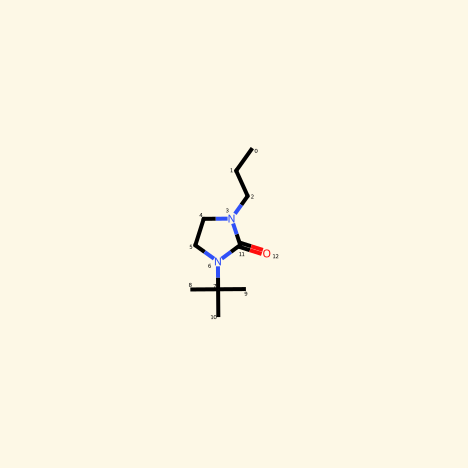 CCCN1CCN(C(C)(C)C)C1=O